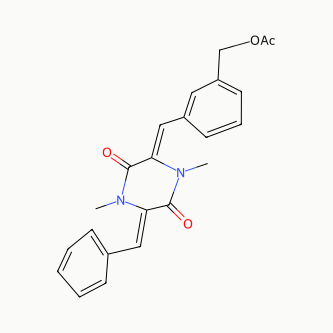 CC(=O)OCc1cccc(/C=c2/c(=O)n(C)/c(=C\c3ccccc3)c(=O)n2C)c1